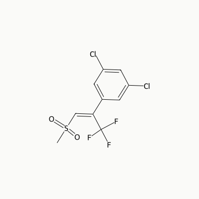 CS(=O)(=O)/C=C(/c1cc(Cl)cc(Cl)c1)C(F)(F)F